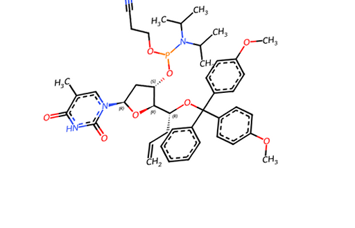 C=CC[C@@H](OC(c1ccccc1)(c1ccc(OC)cc1)c1ccc(OC)cc1)[C@H]1O[C@@H](n2cc(C)c(=O)[nH]c2=O)C[C@@H]1OP(OCCC#N)N(C(C)C)C(C)C